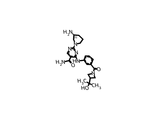 CC(C)(O)C1CN(C(=O)c2cccc(Nc3nc(N4CCC[C@H](N)C4)ncc3C(N)=O)c2)C1